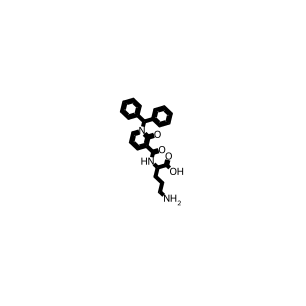 NCCCC(NC(=O)c1cccn(C(c2ccccc2)c2ccccc2)c1=O)C(=O)O